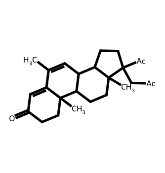 CC(=O)CC1(C(C)=O)CCC2C3C=C(C)C4=CC(=O)CCC4(C)C3CCC21C